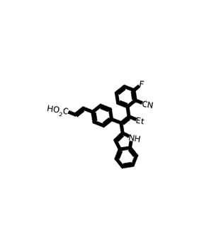 CC/C(=C(/c1ccc(/C=C/C(=O)O)cc1)c1cc2ccccc2[nH]1)c1cccc(F)c1C#N